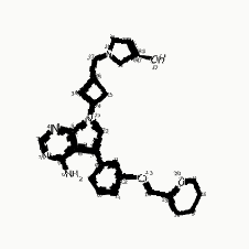 Nc1ncnc2c1c(-c1cccc(OCC3CCCCO3)c1)cn2C1CC(CN2CC[C@@H](O)C2)C1